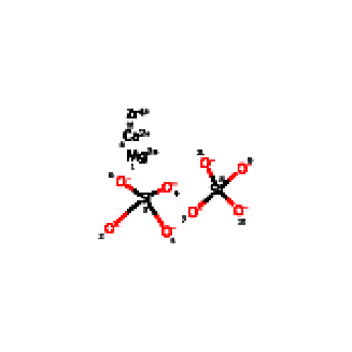 [Ca+2].[Mg+2].[O-][Si]([O-])([O-])[O-].[O-][Si]([O-])([O-])[O-].[Zr+4]